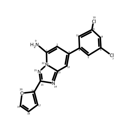 Nc1cc(-c2cc(Cl)cc(Cl)c2)cc2nc(-c3ccco3)nn12